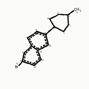 CC1CCC(c2ccc3cc(Br)ccc3c2)CC1